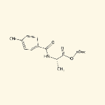 [C-]#[N+]c1ccc(C(=O)N[C@@H](C)C(=O)OCCCCCCCCCC)cc1